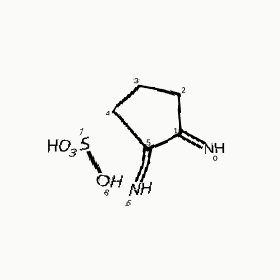 N=C1CCCC1=N.O=S(=O)(O)O